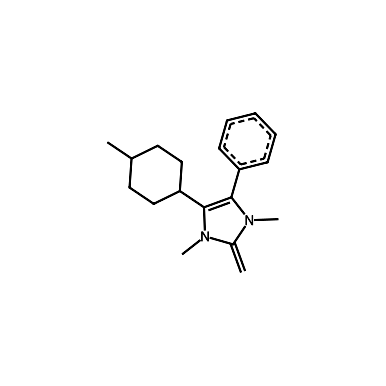 C=C1N(C)C(c2ccccc2)=C(C2CCC(C)CC2)N1C